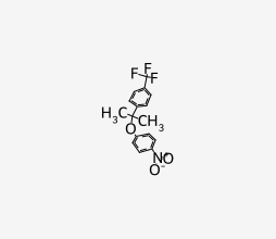 CC(C)(Oc1ccc([N+](=O)[O-])cc1)c1ccc(C(F)(F)F)cc1